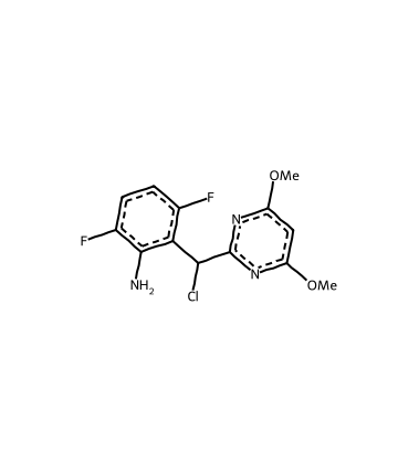 COc1cc(OC)nc(C(Cl)c2c(F)ccc(F)c2N)n1